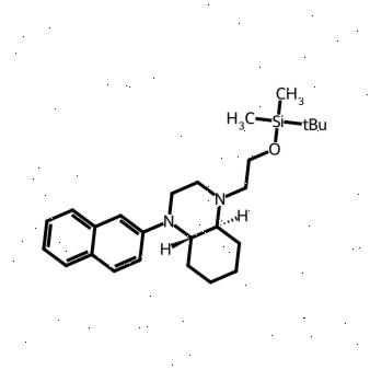 CC(C)(C)[Si](C)(C)OCCN1CCN(c2ccc3ccccc3c2)[C@H]2CCCC[C@@H]21